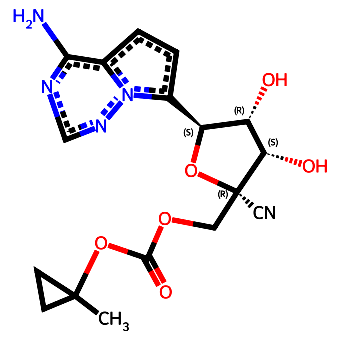 CC1(OC(=O)OC[C@@]2(C#N)O[C@@H](c3ccc4c(N)ncnn34)[C@H](O)[C@@H]2O)CC1